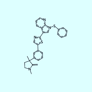 C=C1N(C)CCC1(C)c1cccc(-c2cnc(-c3cn(Sc4ccccc4)c4ncccc34)s2)c1